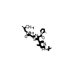 Cc1cc(NC(C)(C)C)ncc1-c1sc(C(=O)NC[C@@H](C)O)nc1C(=O)N1CCC[C@@H]1C